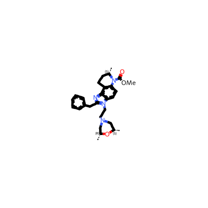 COC(=O)N1c2ccc3c(nc(Cc4ccccc4)n3CCN3C[C@@H](C)O[C@@H](C)C3)c2CC[C@@H]1C